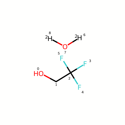 OCC(F)(F)F.[2H]O[2H]